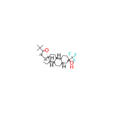 C[C@H](C(=O)C(C)(C)C)[C@H]1CC[C@H]2[C@@H]3CC[C@@H]4C[C@@](O)(C(F)(F)F)CC[C@]4(C)[C@H]3CC[C@]12C